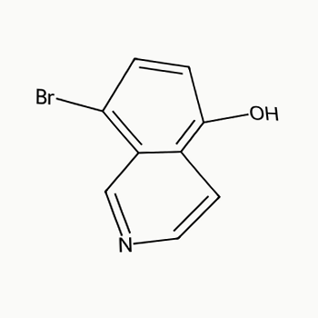 Oc1ccc(Br)c2cnccc12